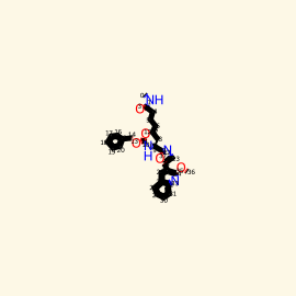 CNC(=O)CCCCC[C@H](NC(=O)OCc1ccccc1)c1ncc(-c2cc3ccccc3nc2OC)o1